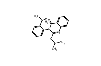 CC(C)Sc1nc2ccccc2c(=O)n1-c1ccccc1C(C)C